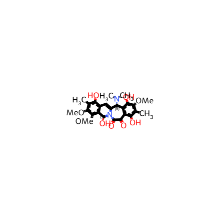 COc1c(C)c(O)c2c(c1O)[C@@H](N(C)C)C1=Cc3c(O)c(C)c(OC)c(OC)c3[C@H](O)N1C(=O)C2=O